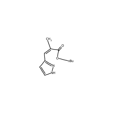 CCCCOC(=O)C(C)=Cc1cc[nH]n1